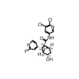 O=C(Nc1cnc(Cl)c(Cl)c1)[C@@H]1[C@@H](c2ccnc(F)c2)[C@H]2O[C@@H]1C[C@@H]2O